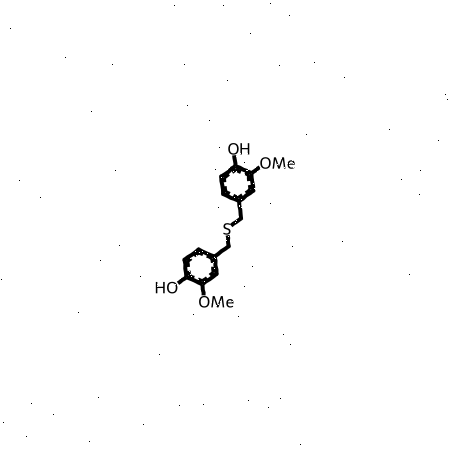 COc1cc(CSCc2ccc(O)c(OC)c2)ccc1O